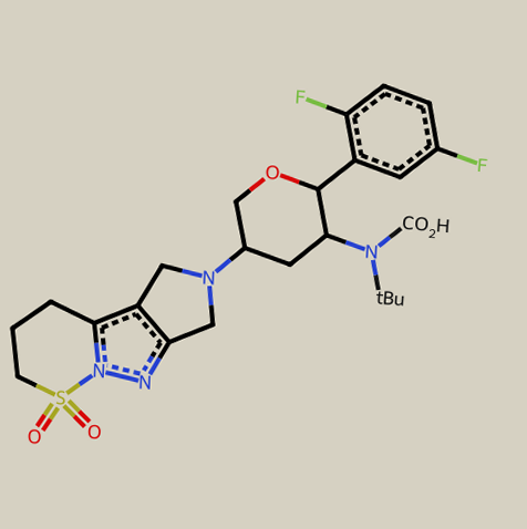 CC(C)(C)N(C(=O)O)C1CC(N2Cc3nn4c(c3C2)CCCS4(=O)=O)COC1c1cc(F)ccc1F